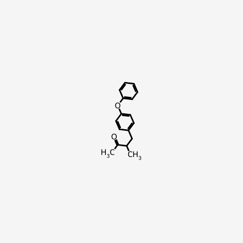 CC(=O)C(C)Cc1ccc(Oc2ccccc2)cc1